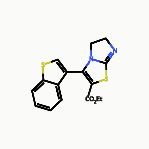 CCOC(=O)C1=C(c2csc3ccccc23)N2CCN=C2S1